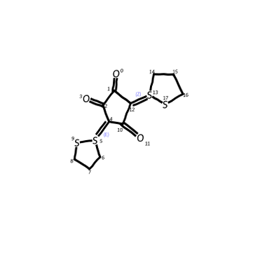 O=C1C(=O)/C(=S2/CCCS2)C(=O)/C1=S1/CCCS1